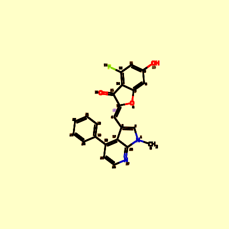 Cn1cc(/C=C2\Oc3cc(O)cc(F)c3C2=O)c2c(-c3ccccc3)ccnc21